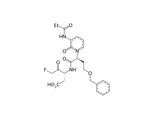 CCC(=O)Nc1cccn([C@@H](CCOCc2ccccc2)C(=O)N[C@H](CC(=O)O)C(=O)CF)c1=O